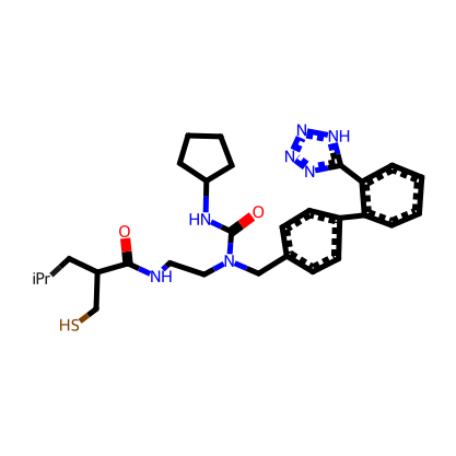 CC(C)CC(CS)C(=O)NCCN(Cc1ccc(-c2ccccc2-c2nnn[nH]2)cc1)C(=O)NC1CCCC1